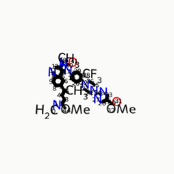 C=N/C(=C\C=C(/C)c1ccc2ncc3c(c2c1)n(-c1ccc(N2CCN(c4ncc(C(=O)OC)cn4)CC2)c(C(F)(F)F)c1)c(=O)n3C)OC